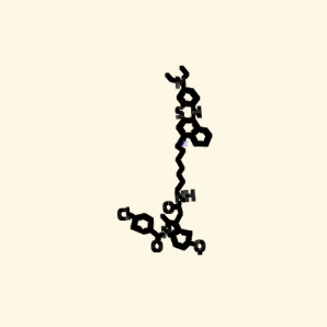 CCN(CC)c1ccc2c(c1)Sc1c/c(=C/CCCCCCNC(=O)Cc3c(C)n(C(=O)c4ccc(Cl)cc4)c4ccc(OC)cc34)c3ccccc3c1=N2